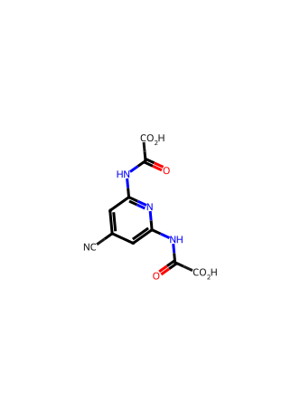 N#Cc1cc(NC(=O)C(=O)O)nc(NC(=O)C(=O)O)c1